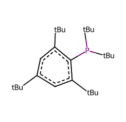 CC(C)(C)c1cc(C(C)(C)C)c(P(C(C)(C)C)C(C)(C)C)c(C(C)(C)C)c1